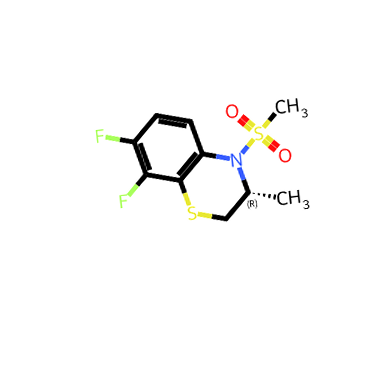 C[C@@H]1CSc2c(ccc(F)c2F)N1S(C)(=O)=O